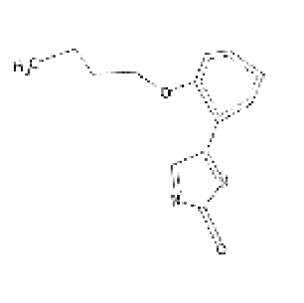 CCCCOc1ccccc1C1=NC(=O)N=C1